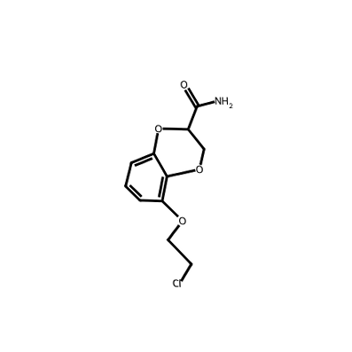 NC(=O)C1COc2c(OCCCl)cccc2O1